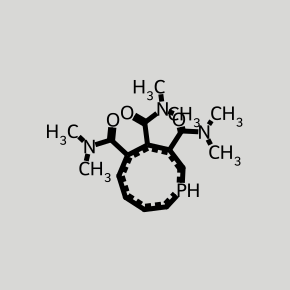 CN(C)C(=O)c1cccc[pH]cc(C(=O)N(C)C)c1C(=O)N(C)C